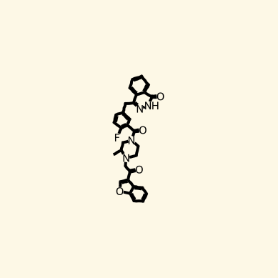 CC1CN(C(=O)c2cc(Cc3n[nH]c(=O)c4ccccc34)ccc2F)CCN1CC(=O)c1coc2ccccc12